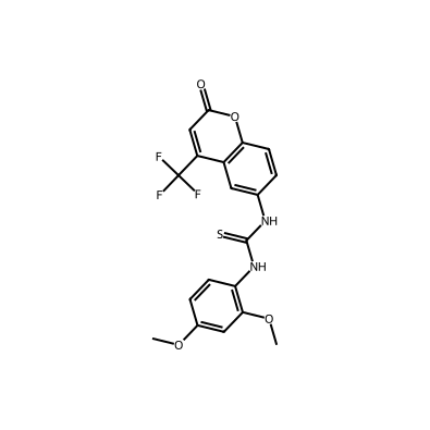 COc1ccc(NC(=S)Nc2ccc3oc(=O)cc(C(F)(F)F)c3c2)c(OC)c1